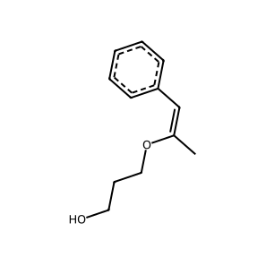 CC(=Cc1ccccc1)OCCCO